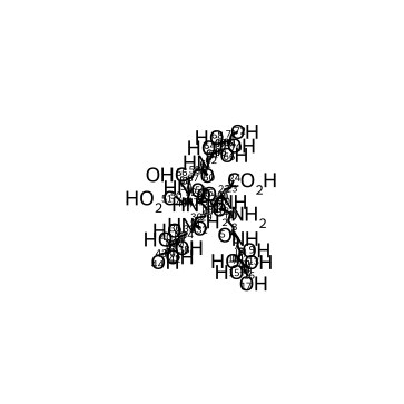 N[C@@H](CCC(=O)NC[C@H](O)[C@@H](O)[C@H](O)[C@H](O)CO)C(=O)N[C@H](CCC(=O)O)C(=O)N[C@@H](CCC(=O)NC[C@H](O)[C@@H](O)[C@H](O)[C@H](O)CO)C(=O)N[C@H](CCC(=O)O)C(=O)N[C@H](C=O)CCC(=O)NC[C@H](O)[C@@H](O)[C@H](O)[C@H](O)CO